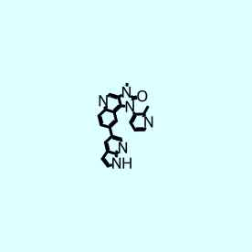 Cc1ncccc1-n1c(=O)n(C)c2cnc3ccc(-c4cnc5[nH]ccc5c4)cc3c21